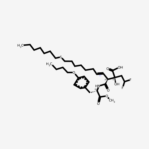 CCCCCCCSCCCCCC/C=C/[C@H](C(=O)N[C@@H](Cc1ccc(OCCCC)cc1)C(=O)OC)[C@@](O)(CC(F)F)C(=O)O